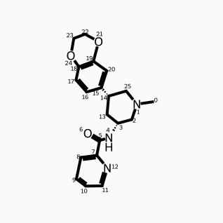 CN1C[C@H](NC(=O)c2ccccn2)C[C@H](c2ccc3c(c2)OCCO3)C1